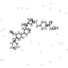 N#Cc1cc(-c2ccnc(Nc3cnn(CCC4CCN(C(=O)CO)CC4)c3)c2)ccc1OC1CCOCC1